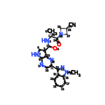 C[C@@H](NC(=O)c1c[nH]c2ncc(-c3nn(C)c4ccccc34)nc12)C(=O)N1CC(C#N)C1